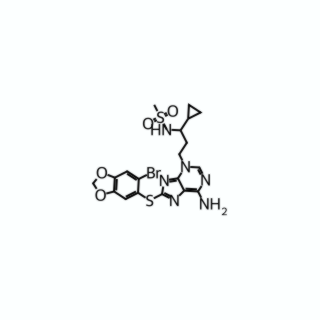 CS(=O)(=O)NC(CCn1cnc(N)c2nc(Sc3cc4c(cc3Br)OCO4)nc1-2)C1CC1